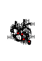 CNCCOc1cc(S(=O)(=O)NC(=O)C[C@@H]2NC(=O)[C@H](NC(=O)[C@@H](CC(C)C)NC)[C@H](O)c3ccc(c(C)c3)Oc3cc4cc(c3O)Oc3ccc(cc3Cl)[C@@H](O)[C@@H]3NC(=O)[C@H](NC(=O)[C@@H]4NC2=O)c2ccc(O)c(c2)-c2c(O)cc(O)cc2[C@@H](C(=O)NC2C4CC5CC(C4)CC2C5)NC3=O)cc(OCCNC)c1OCCNC